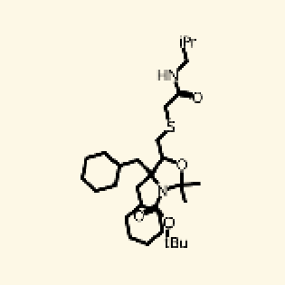 CC(C)CNC(=O)CSCC1OC(C)(C)N(C(=O)OC(C)(C)C)C1(CC1CCCCC1)CC1CCCCC1